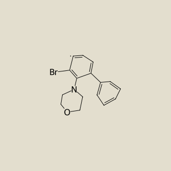 Brc1[c]ccc(-c2ccccc2)c1N1CCOCC1